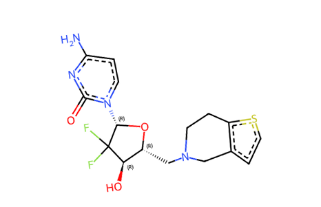 Nc1ccn([C@@H]2O[C@H](CN3CCc4sccc4C3)[C@@H](O)C2(F)F)c(=O)n1